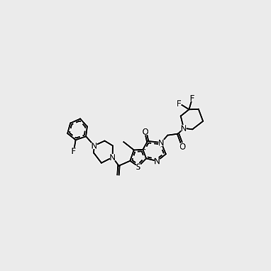 C=C(c1sc2ncn(CC(=O)N3CCCC(F)(F)C3)c(=O)c2c1C)N1CCN(c2ccccc2F)CC1